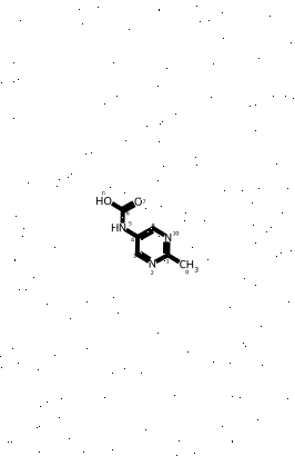 Cc1ncc(NC(=O)O)cn1